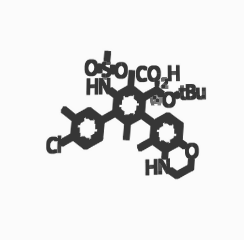 Cc1cc(-c2c(C)c(-c3ccc4c(c3C)NCCO4)c([C@H](OC(C)(C)C)C(=O)O)c(C)c2NS(C)(=O)=O)ccc1Cl